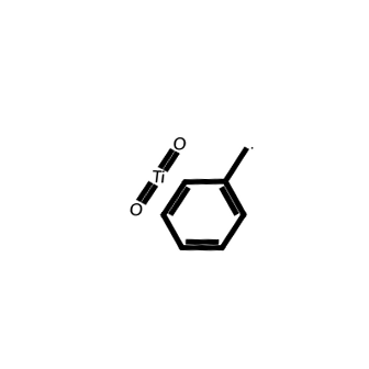 [CH2]c1ccccc1.[O]=[Ti]=[O]